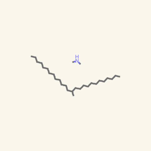 CCCCCCCCCCCCCC(C)CCCCCCCCCCCC.CNC